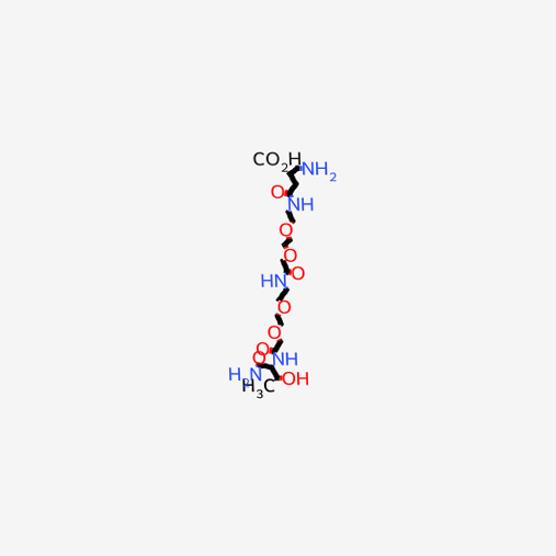 C[C@@H](O)[C@H](NC(=O)COCCOCCNC(=O)COCCOCCNC(=O)CC[C@H](N)C(=O)O)C(N)=O